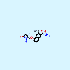 COc1cc2c(OC[C@H]3NC(=O)C[C@H]3C)cccc2cc1C(N)O